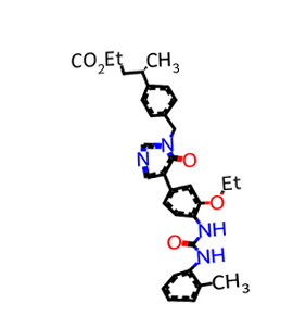 CCOC(=O)C[C@H](C)c1ccc(Cn2cncc(-c3ccc(NC(=O)Nc4ccccc4C)c(OCC)c3)c2=O)cc1